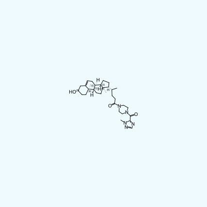 CC(CCC(=O)N1CCN(C(=O)c2ncnn2C)CC1)[C@H]1CC[C@H]2[C@@H]3CC=C4C[C@@H](O)CC[C@]4(C)[C@H]3CC[C@]12C